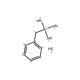 CCC[N+](CCC)(CCC)Cc1ccccc1.[SH-]